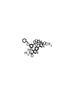 COC(=O)c1cc(Nc2c(C(N)=O)cnc3cc(-c4cnc(OC)nc4OC)ccc23)cc(OCC2CCCCC2)c1